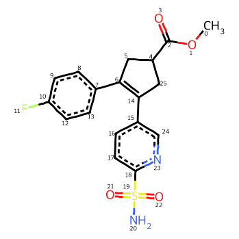 COC(=O)C1CC(c2ccc(F)cc2)=C(c2ccc(S(N)(=O)=O)nc2)C1